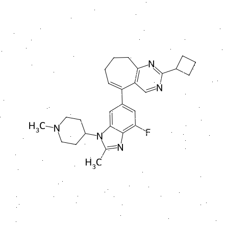 Cc1nc2c(F)cc(C3=CCCCc4nc(C5CCC5)ncc43)cc2n1C1CCN(C)CC1